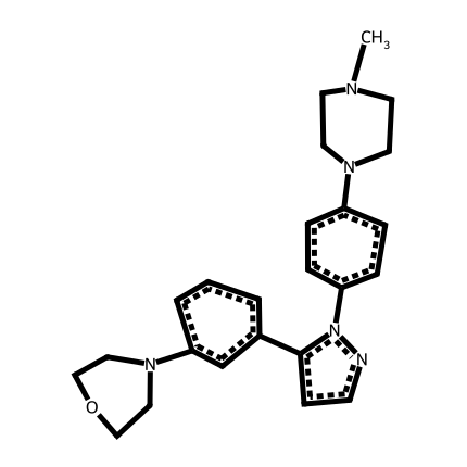 CN1CCN(c2ccc(-n3nccc3-c3cccc(N4CCOCC4)c3)cc2)CC1